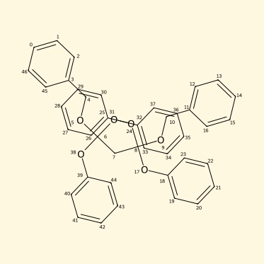 c1ccc(COC(CC(OCc2ccccc2)(Oc2ccccc2)Oc2ccccc2)(Oc2ccccc2)Oc2ccccc2)cc1